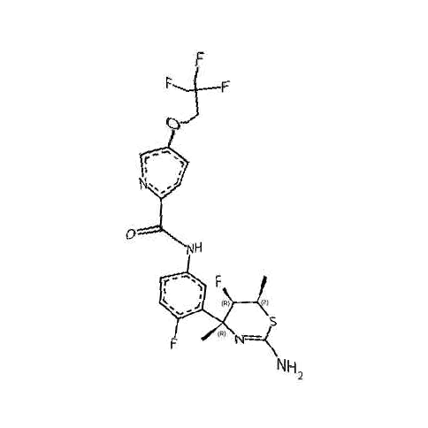 C[C@H]1SC(N)=N[C@](C)(c2cc(NC(=O)c3ccc(OCC(F)(F)F)cn3)ccc2F)[C@H]1F